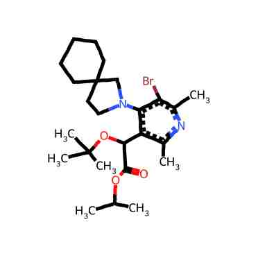 Cc1nc(C)c(C(OC(C)(C)C)C(=O)OC(C)C)c(N2CCC3(CCCCC3)C2)c1Br